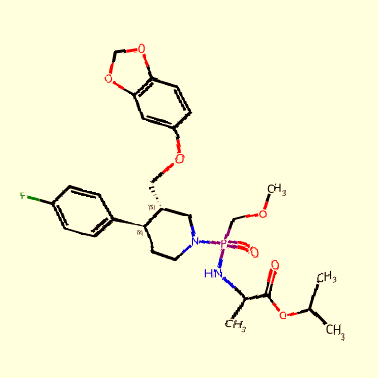 COCP(=O)(NC(C)C(=O)OC(C)C)N1CC[C@@H](c2ccc(F)cc2)[C@H](COc2ccc3c(c2)OCO3)C1